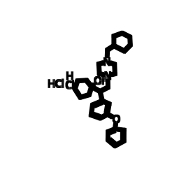 Cl.Cl.OC1(C(CN2CCN(CC3CCCCC3)CC2)c2cccc(Oc3ccccc3)c2)CCCCC1